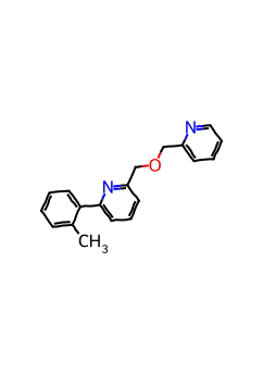 Cc1ccccc1-c1cccc(COCc2ccccn2)n1